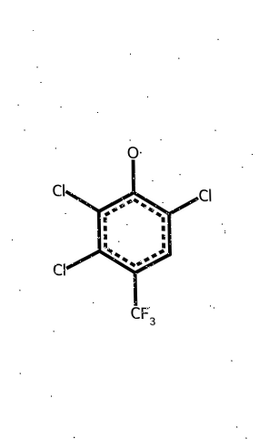 [O]c1c(Cl)cc(C(F)(F)F)c(Cl)c1Cl